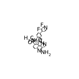 CN(C(=O)c1ccc2nc(N)c3cnn(C)c3c2c1)[C@@H]1COc2cc(-c3ccnc(F)c3F)ccc21